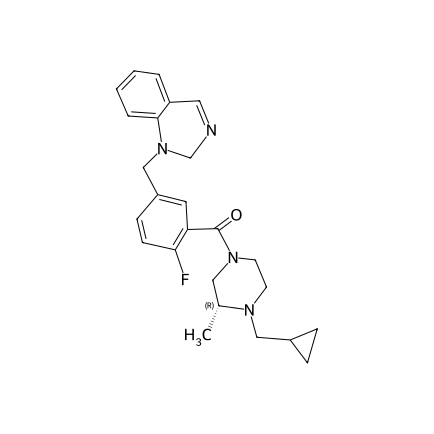 C[C@@H]1CN(C(=O)c2cc(CN3CN=Cc4ccccc43)ccc2F)CCN1CC1CC1